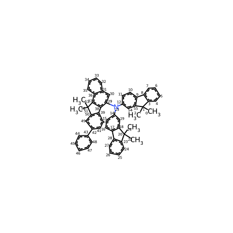 CC1(C)c2ccccc2-c2ccc(N(c3ccc4c(c3)C(C)(C)c3ccccc3-4)c3cc4ccccc4c4c3-c3ccc(-c5ccccc5)cc3C4(C)C)cc21